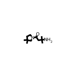 CC(C)(N)CC(=O)N1CCC(C)(C)C1